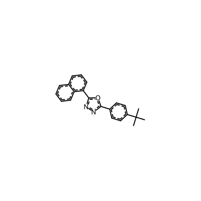 CC(C)(C)c1ccc(-c2nnc(-c3cccc4ccccc34)o2)cc1